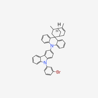 CC1=CCC2C[C@H]1C(C)CC21c2ccccc2N(c2ccc3c(c2)c2ccccc2n3-c2cccc(Br)c2)c2ccccc21